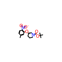 Cc1ccc([N+](=O)[O-])c(O[C@H]2CCCN(C(=O)OC(C)(C)C)C2)c1